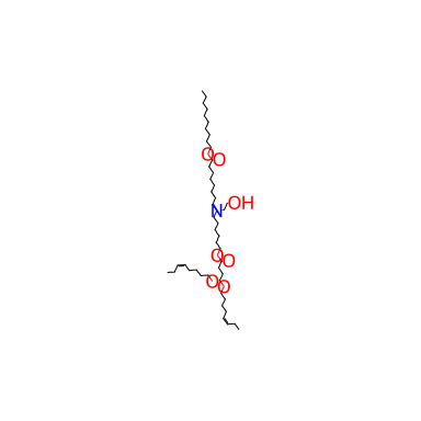 CC/C=C\CCCCOC(CCC(=O)OCCCCCCN(CCO)CCCCCCCC(=O)OCCCCCCCCCC)OCCCC/C=C\CC